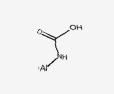 O=C(O)[NH][Al]